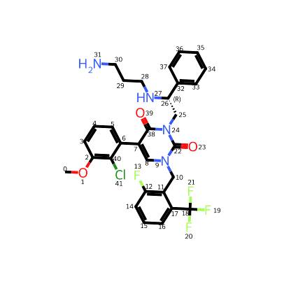 COc1cccc(-c2cn(Cc3c(F)cccc3C(F)(F)F)c(=O)n(C[C@H](NCCCN)c3ccccc3)c2=O)c1Cl